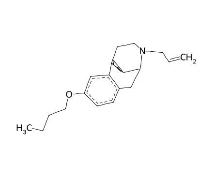 C=CCN1CCC23CCCCC2C1Cc1ccc(OCCCC)cc13